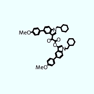 COc1ccc(-c2ccc3c(c2)c(OC(=O)C(=O)c2cn(CC4CCCCC4)c4ccc(-c5ccc(OC)cc5)cc24)cn3CC2CCCCC2)cc1